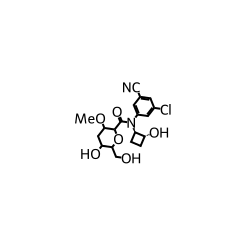 COC1CC(O)C(CO)OC1C(=O)N(c1cc(Cl)cc(C#N)c1)[C@@H]1CC[C@H]1O